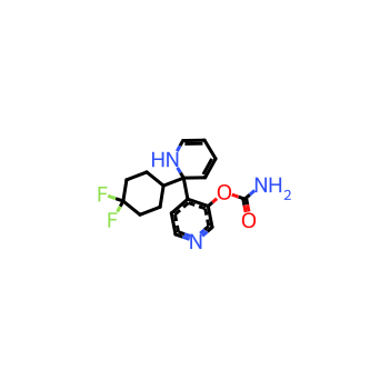 NC(=O)Oc1cnccc1C1(C2CCC(F)(F)CC2)C=CC=CN1